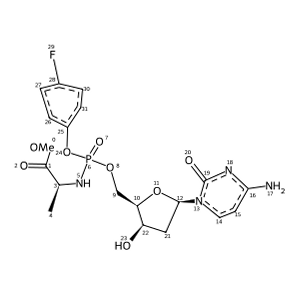 COC(=O)[C@H](C)NP(=O)(OC[C@H]1O[C@@H](n2ccc(N)nc2=O)C[C@H]1O)Oc1ccc(F)cc1